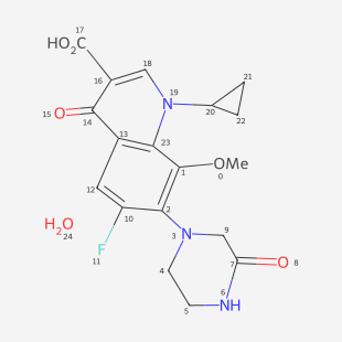 COc1c(N2CCNC(=O)C2)c(F)cc2c(=O)c(C(=O)O)cn(C3CC3)c12.O